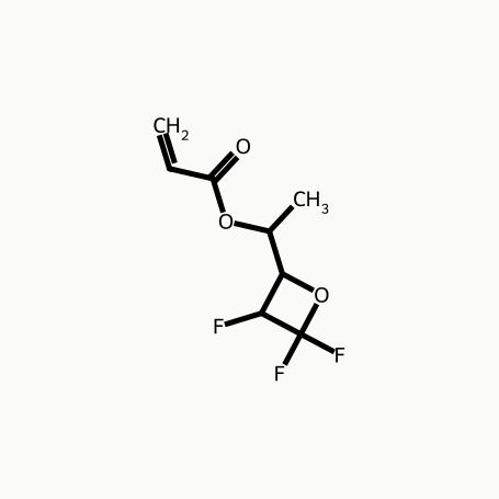 C=CC(=O)OC(C)C1OC(F)(F)C1F